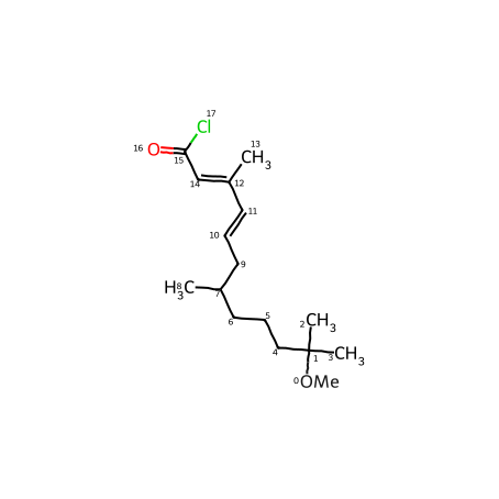 COC(C)(C)CCCC(C)CC=CC(C)=CC(=O)Cl